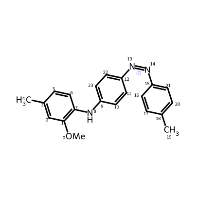 COc1cc(C)ccc1Nc1ccc(/N=N\c2ccc(C)cc2)cc1